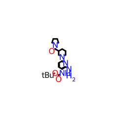 CC(C)(C)OC(=O)Nc1ccc(N2CCCC(C(=O)N3CCCC3)C2)nc1N